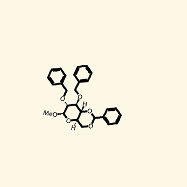 CO[C@@H]1O[C@@H]2COC(c3ccccc3)O[C@H]2[C@H](OCc2ccccc2)[C@H]1OCc1ccccc1